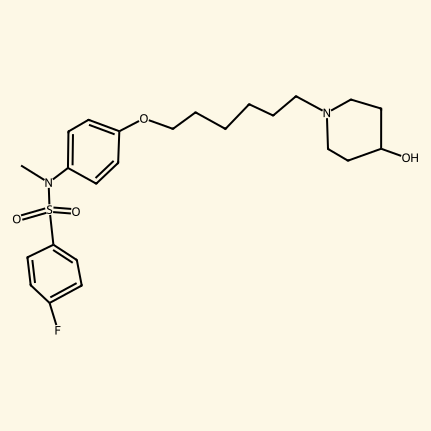 CN(c1ccc(OCCCCCCN2CCC(O)CC2)cc1)S(=O)(=O)c1ccc(F)cc1